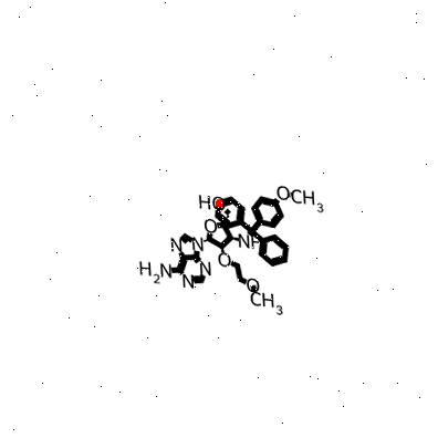 COCCO[C@@H]1[C@H](NC(c2ccccc2)(c2ccccc2)c2ccc(OC)cc2)[C@@H](CO)O[C@H]1n1cnc2c(N)ncnc21